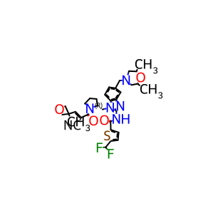 CC1CN(Cc2ccc3c(c2)nc(NC(=O)c2ccc(C(F)F)s2)n3C[C@H]2CCCN2C(=O)C(C#N)=CC2(C)COC2)CC(C)O1